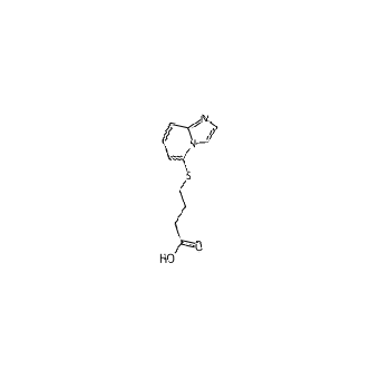 O=C(O)CCCSc1cccc2nccn12